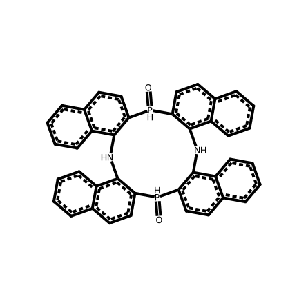 O=[PH]1c2ccc3ccccc3c2Nc2c(ccc3ccccc23)[PH](=O)c2ccc3ccccc3c2Nc2c1ccc1ccccc21